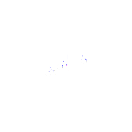 O=C(CCCCc1cccnc1)Nc1ccc(-c2nc3ccccc3s2)cc1